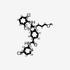 COCCCn1c(Nc2c(Cl)cccc2Cl)nc2cc(C(=O)Nc3cc(Cl)ccn3)ccc21